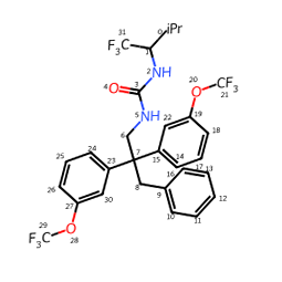 CC(C)C(NC(=O)NCC(Cc1ccccc1)(c1cccc(OC(F)(F)F)c1)c1cccc(OC(F)(F)F)c1)C(F)(F)F